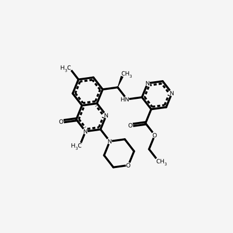 CCOC(=O)c1cncnc1N[C@H](C)c1cc(C)cc2c(=O)n(C)c(N3CCOCC3)nc12